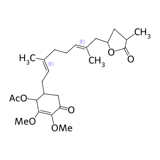 COC1=C(OC)C(OC(C)=O)C(C/C=C(\C)CC/C=C(\C)CC2CC(C)C(=O)O2)CC1=O